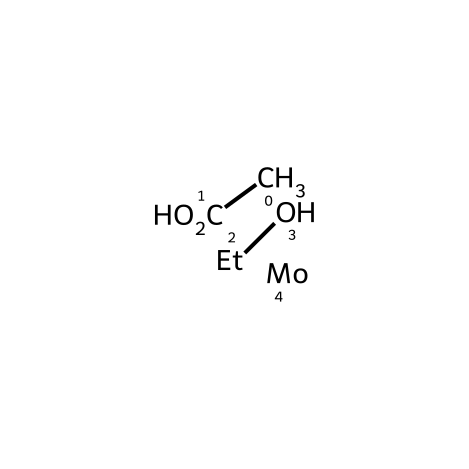 CC(=O)O.CCO.[Mo]